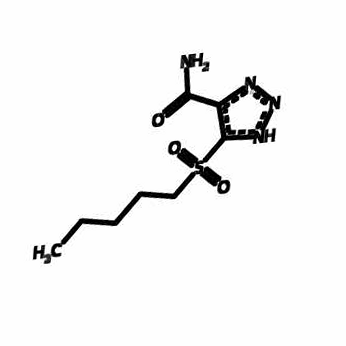 CCCCCS(=O)(=O)c1[nH]nnc1C(N)=O